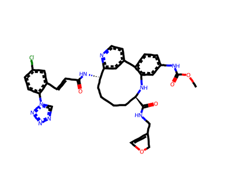 COC(=O)Nc1ccc2c(c1)N[C@@H](C(=O)NCC1=COC1)CCCC[C@H](NC(=O)/C=C/c1cc(Cl)ccc1-n1cnnn1)c1cc-2ccn1